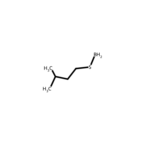 BSCCC(C)C